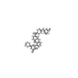 O=c1cc(N2CCOCC2)cc(-c2cccc3c2Oc2ccc(NC4CCN(Cc5cncc(F)c5)CC4)cc2C3)[nH]1